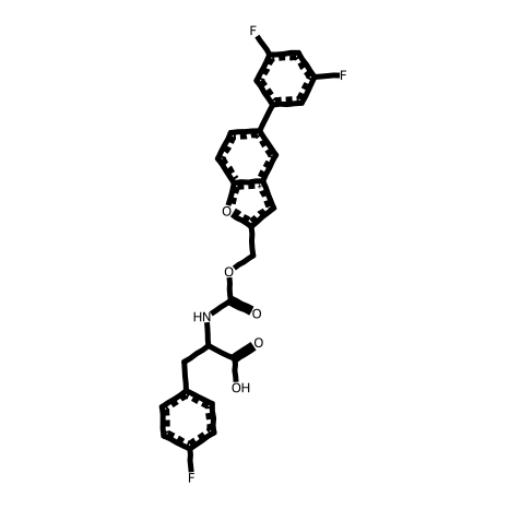 O=C(NC(Cc1ccc(F)cc1)C(=O)O)OCc1cc2cc(-c3cc(F)cc(F)c3)ccc2o1